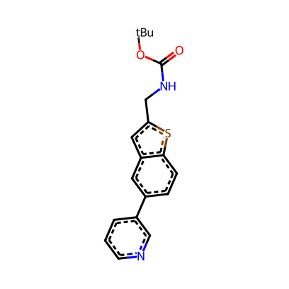 CC(C)(C)OC(=O)NCc1cc2cc(-c3cccnc3)ccc2s1